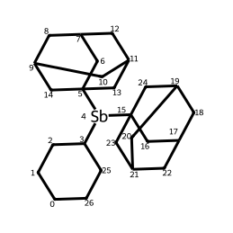 C1CC[CH]([Sb]([C]23CC4CC(CC(C4)C2)C3)[C]23CC4CC(CC(C4)C2)C3)CC1